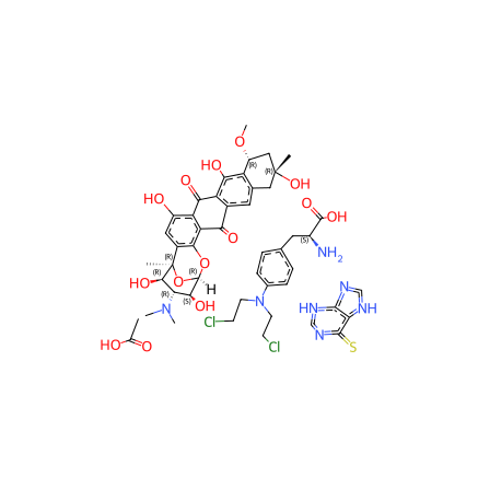 CC(=O)O.CO[C@@H]1C[C@](C)(O)Cc2cc3c(c(O)c21)C(=O)c1c(O)cc2c(c1C3=O)O[C@@H]1O[C@@]2(C)[C@H](O)[C@@H](N(C)C)[C@@H]1O.N[C@@H](Cc1ccc(N(CCCl)CCCl)cc1)C(=O)O.S=c1nc[nH]c2nc[nH]c12